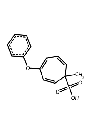 CC1(S(=O)(=O)O)C=CC=C(Oc2ccccc2)C=C1